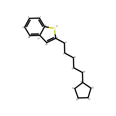 c1ccc2sc(CCCCCC3CCCC3)cc2c1